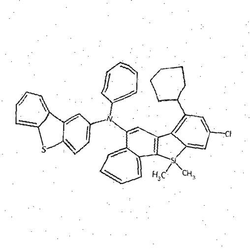 C[Si]1(C)c2cc(Cl)cc(C3CCCCC3)c2-c2cc(N(c3ccccc3)c3ccc4sc5ccccc5c4c3)c3ccccc3c21